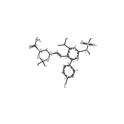 CC(C)c1nc(N(C)S(C)(=O)=O)nc(-c2ccc(F)cc2)c1/C=C/[C@@H]1C[C@H](C(N)=O)OC(C)(C)O1